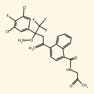 C=C(CC(ON)(c1cc(Cl)c(F)c(Cl)c1)C(F)(F)F)c1ccc(C(=O)NCC(C)=O)c2ccccc12